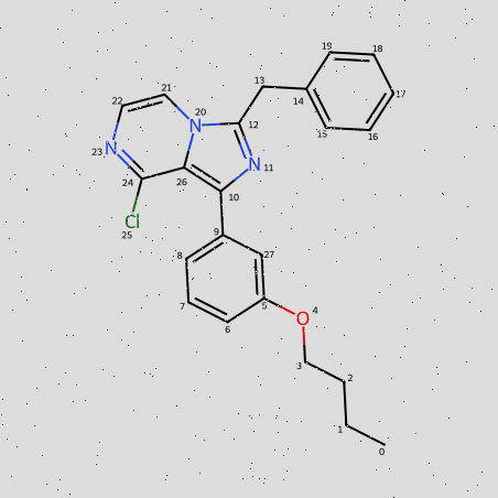 CCCCOc1cccc(-c2nc(Cc3ccccc3)n3ccnc(Cl)c23)c1